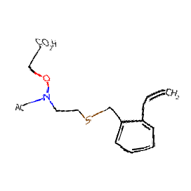 C=Cc1ccccc1CSCCN(OCC(=O)O)C(C)=O